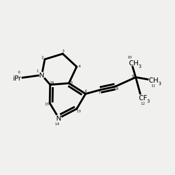 CC(C)N1CCCc2c(C#CC(C)(C)C(F)(F)F)cncc21